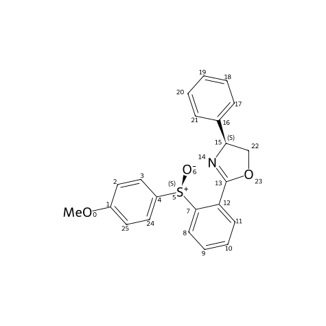 COc1ccc([S@@+]([O-])c2ccccc2C2=N[C@@H](c3ccccc3)CO2)cc1